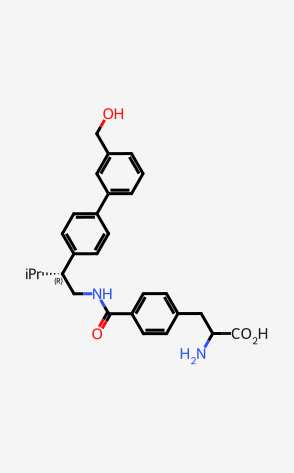 CC(C)[C@@H](CNC(=O)c1ccc(CC(N)C(=O)O)cc1)c1ccc(-c2cccc(CO)c2)cc1